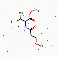 COCCC(=O)NC(C(=O)OC)C(C)C